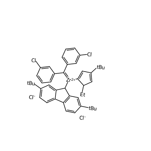 CCC1C=C(C(C)(C)C)C=[C]1[Zr+2](=[C](c1cccc(Cl)c1)c1cccc(Cl)c1)[CH]1c2cc(C(C)(C)C)ccc2-c2ccc(C(C)(C)C)cc21.[Cl-].[Cl-]